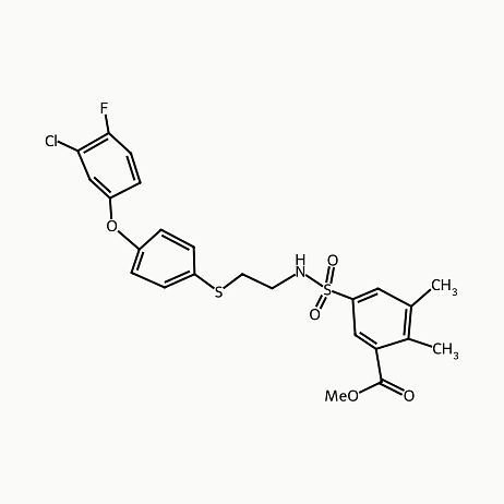 COC(=O)c1cc(S(=O)(=O)NCCSc2ccc(Oc3ccc(F)c(Cl)c3)cc2)cc(C)c1C